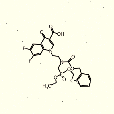 CCOP(=O)(CN(CCn1cc(C(=O)O)c(=O)c2cc(F)c(F)cc21)C(=O)OCc1ccccc1)OCC